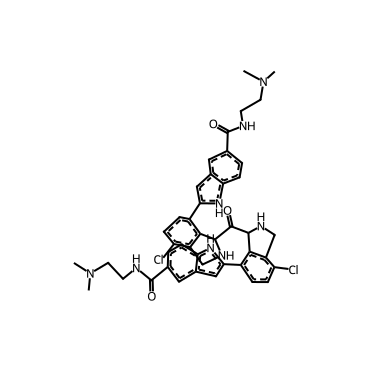 CN(C)CCNC(=O)c1ccc2[nH]c(-c3ccc(Cl)c4c3C(C(=O)C3NCc5c(Cl)ccc(-c6cc7cc(C(=O)NCCN(C)C)ccc7[nH]6)c53)NC4)cc2c1